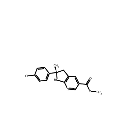 COC(=O)c1cnc2c(c1)C[C@@](C)(c1ccc(Cl)cc1)N2